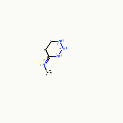 O=[N+]([O-])/N=C1/CCNNN1